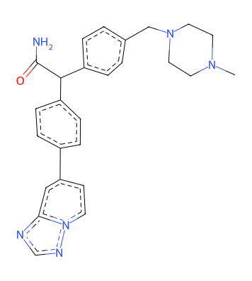 CN1CCN(Cc2ccc(C(C(N)=O)c3ccc(-c4ccn5ncnc5c4)cc3)cc2)CC1